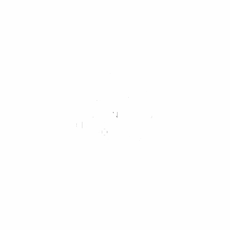 CC(C)c1cccc(C(C)C)c1N(C(=O)CCl)c1ccccc1